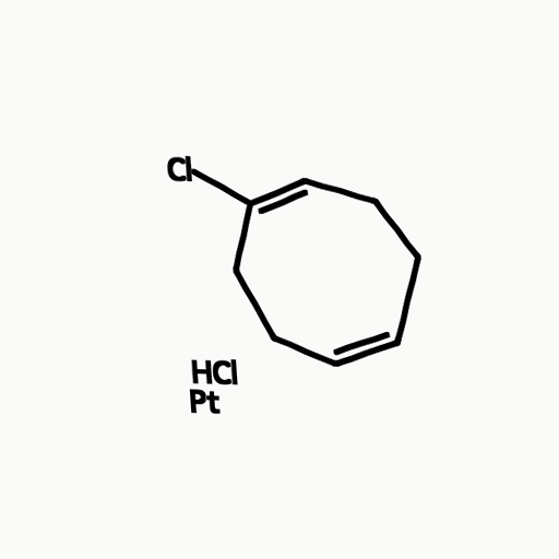 Cl.ClC1=CCCC=CCC1.[Pt]